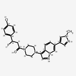 Cn1cc(-c2ccc3c(N4CCN(C(=O)CC(F)c5ccc(Cl)cc5)CC4)cnn3c2)cn1